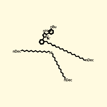 CCCCCCCCCCCCCCCCCCCCCCCCCC=CCCCc1ccccc1C1=CC(CCCCCC)=C(c2cccc(CCCC)c2)[N+]1=[N-].CCCCCCCCCCCCCCCCCCCCCC[CH2][Ni][CH2]CCCCCCCCCCCCCCCCCCCCCC